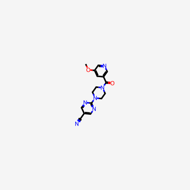 COc1cncc(C(=O)N2CCN(c3ncc(C#N)cn3)CC2)c1